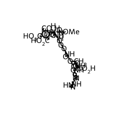 COCCNC(=O)CC[C@@H](NC(=O)CN1CCN(CC(=O)O)CCN(CC(=O)O)CCN(CC(=O)O)CC1)C(=O)NCCCOCCOCCOCCCNC(=O)CCCOc1cc(C)c(S(=O)(=O)NC(CNC(=O)c2ccc3c(cnn3CCCNc3ncc[nH]3)c2)C(=O)O)c(C)c1